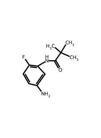 CC(C)(C)C(=O)Nc1cc(N)ccc1F